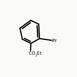 CCOC(=O)c1ccccc1C(C)C